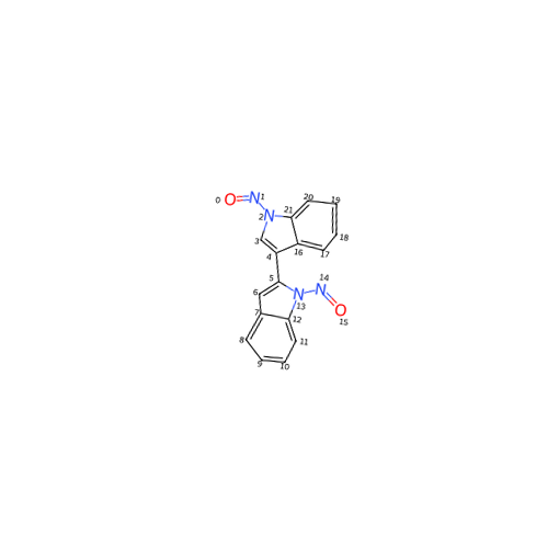 O=Nn1cc(-c2cc3ccccc3n2N=O)c2ccccc21